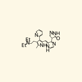 CCN(CC)CCc1c(C)[nH]c(C=C2NC=CN=C2C2C=NNC2=O)c1-c1ccccn1